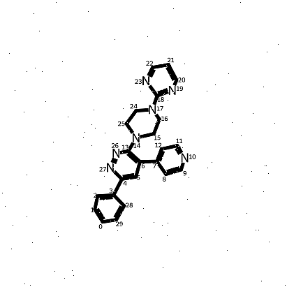 c1ccc(-c2cc(-c3ccncc3)c(N3CCN(c4ncccn4)CC3)nn2)cc1